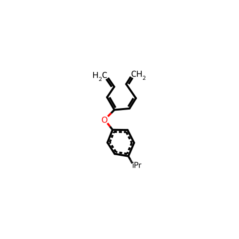 C=C/C=C\C(=C/C=C)Oc1ccc(C(C)C)cc1